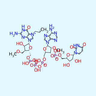 C=CC[n+]1cn([C@@H]2O[C@H](COP(=O)(O)OP(=O)(O)OP(=O)(O)OCC3O[C@@H](n4cnc5c(N)ncnc54)[C@H](OC)[C@@H]3OP(=O)(O)OC[C@H]3O[C@@H](n4ccc(=O)[nH]c4=O)[C@H](O)[C@@H]3O)[C@@H](COC)[C@H]2O)c2nc(N)[nH]c(=O)c21